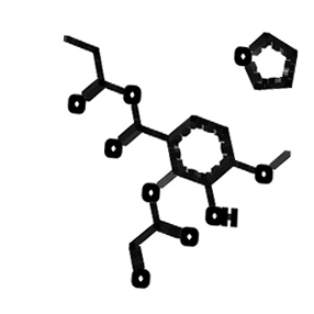 CCC(=O)OC(=O)c1ccc(OC)c(O)c1OC(=O)C=O.c1ccoc1